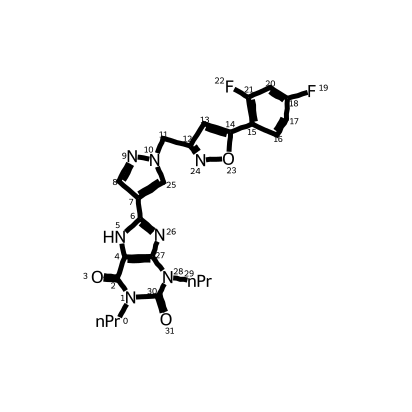 CCCn1c(=O)c2[nH]c(-c3cnn(Cc4cc(-c5ccc(F)cc5F)on4)c3)nc2n(CCC)c1=O